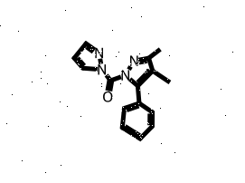 Cc1nn(C(=O)n2cccn2)c(-c2ccccc2)c1C